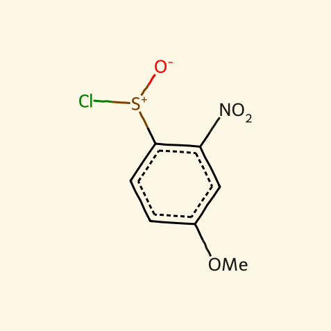 COc1ccc([S+]([O-])Cl)c([N+](=O)[O-])c1